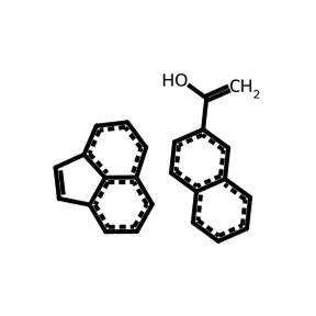 C1=Cc2cccc3cccc1c23.C=C(O)c1ccc2ccccc2c1